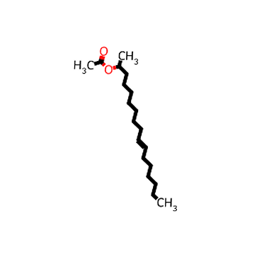 CCCCCCC=CCCCCCCCC(C)OC(C)=O